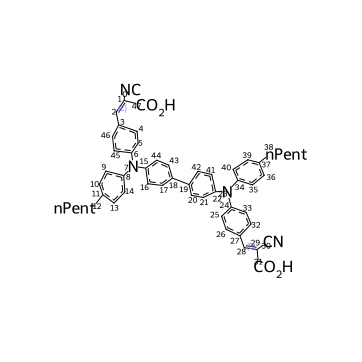 [C-]#[N+]/C(=C/c1ccc(N(c2ccc(CCCCC)cc2)c2ccc(-c3ccc(N(c4ccc(/C=C(\C#N)C(=O)O)cc4)c4ccc(CCCCC)cc4)cc3)cc2)cc1)C(=O)O